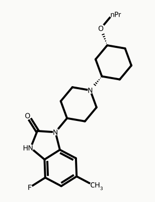 CCCO[C@@H]1CCC[C@H](N2CCC(n3c(=O)[nH]c4c(F)cc(C)cc43)CC2)C1